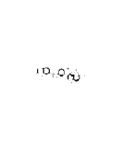 C=C(Nc1ccnc2ccc(OC)nc12)[C@H]1CC[C@H](NS(=O)(=O)c2ccc3c(c2)NC(=O)CS3)CC1